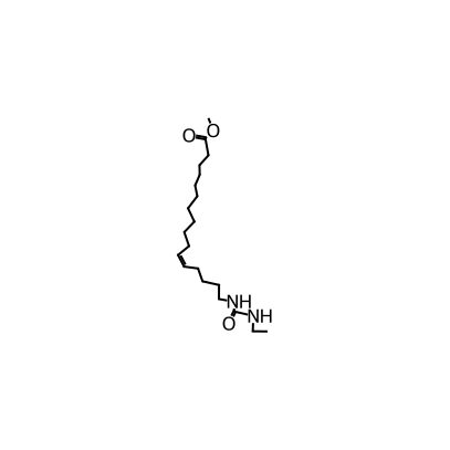 CCNC(=O)NCCCC/C=C\CCCCCCCCCC(=O)OC